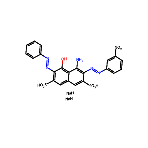 Nc1c(N=Nc2cccc([N+](=O)[O-])c2)c(S(=O)(=O)O)cc2cc(S(=O)(=O)O)c(N=Nc3ccccc3)c(O)c12.[NaH].[NaH]